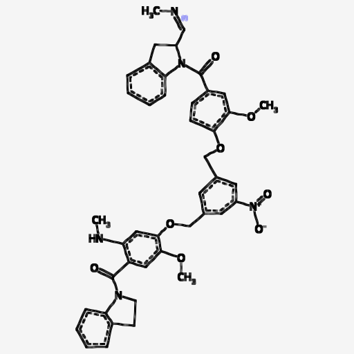 C/N=C\C1Cc2ccccc2N1C(=O)c1ccc(OCc2cc(COc3cc(NC)c(C(=O)N4CCc5ccccc54)cc3OC)cc([N+](=O)[O-])c2)c(OC)c1